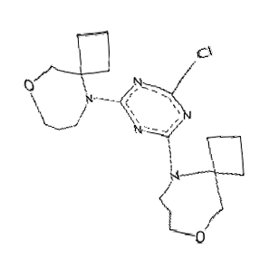 Clc1nc(N2CCOCC23CCC3)nc(N2CCOCC23CCC3)n1